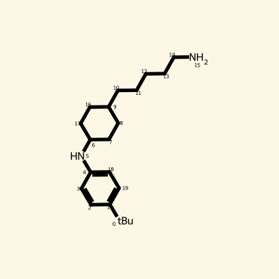 CC(C)(C)c1ccc(NC2CCC(CCCCCN)CC2)cc1